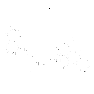 Cc1cnc(NCCN(C)CCNc2ncnc3cc(Cl)ccc23)c2c(=O)c3ccccc3sc12